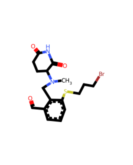 CN(Cc1c(C=O)cccc1SCCCBr)C1CCC(=O)NC1=O